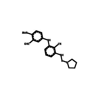 CNc1ccc(Nc2cccc(NSN3CCCC3)c2C#N)cc1C=O